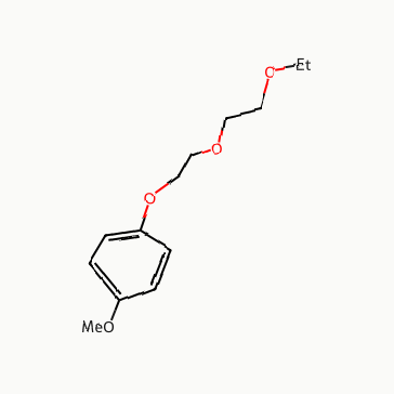 CCOCCOCCOc1ccc(OC)cc1